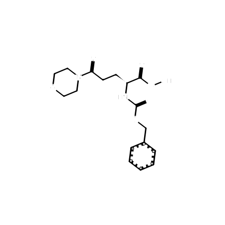 COC(=O)[C@H](CCC(=O)N1CCOCC1)NC(=O)OCc1ccccc1